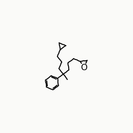 CC(CCCC1CC1)(CCCC1CO1)c1ccccc1